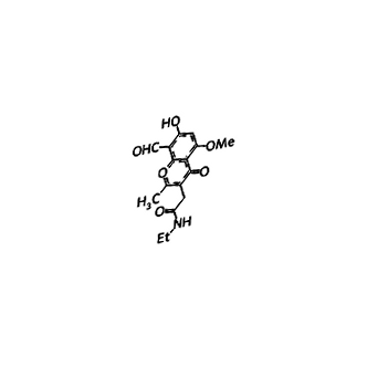 CCNC(=O)Cc1c(C)oc2c(C=O)c(O)cc(OC)c2c1=O